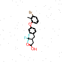 Cc1c(Br)cccc1Oc1ccc(CC(CC(=O)O)C(F)(F)F)cc1